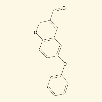 O=CC1=Cc2cc(Oc3ccccc3)ccc2OC1